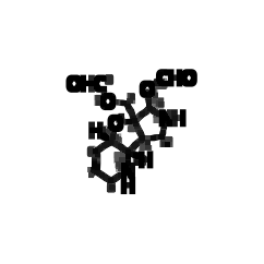 O=COCC12O[C@H]3C=CCN[C@H]3C1CNC2OC=O